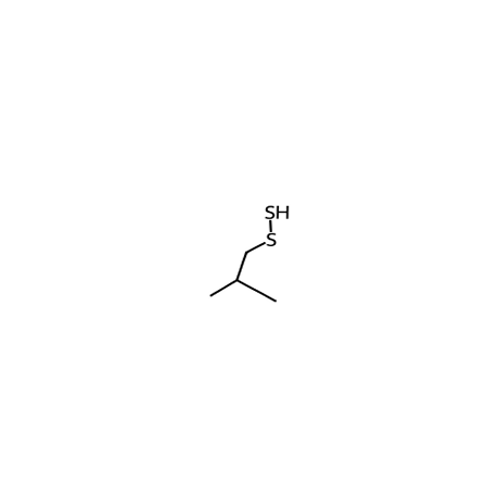 CC(C)CSS